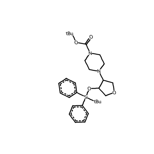 CC(C)(C)OC(=O)N1CCN(C2COCC2O[Si](c2ccccc2)(c2ccccc2)C(C)(C)C)CC1